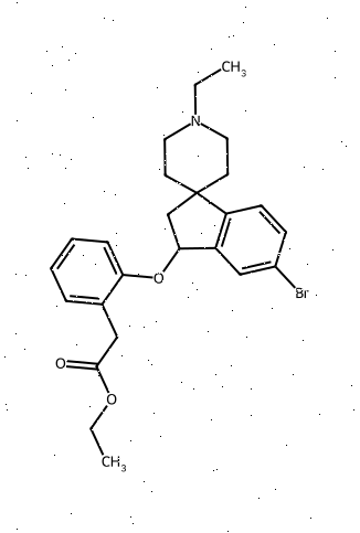 CCOC(=O)Cc1ccccc1OC1CC2(CCN(CC)CC2)c2ccc(Br)cc21